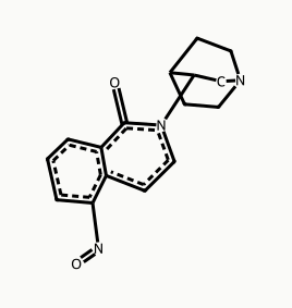 O=Nc1cccc2c(=O)n(C3CN4CCC3CC4)ccc12